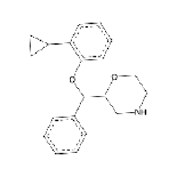 c1ccc(C(Oc2ccccc2C2CC2)C2CNCCO2)cc1